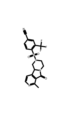 Cc1nccc2c1C(=O)N1CCN(S(=O)(=O)c3ccc(C#N)cc3C(F)(F)F)CC21